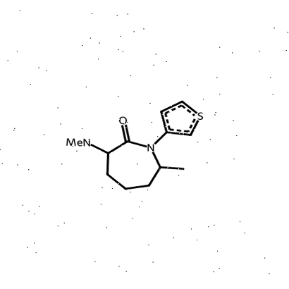 CNC1CCCC(C)N(c2ccsc2)C1=O